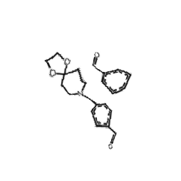 O=Cc1ccc(N2CCC3(CC2)OCCO3)cc1.O=Cc1ccccc1